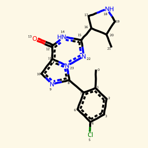 Cc1ccc(Cl)cc1-c1ncc2c(=O)[nH]c(C3CNCC3C)nn12